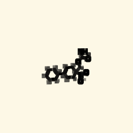 NC(=O)OCC1([N+](=O)[O-])C=CC(c2ccccc2)=CC1